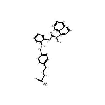 CC(C(=O)Nc1ccccc1OCc1ccc(CCCC(=O)O)cc1)c1cccc2ccccc12